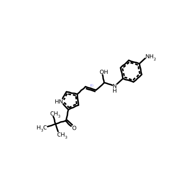 CC(C)(C)C(=O)c1cc(/C=C/C(O)Nc2ccc(N)cc2)c[nH]1